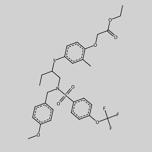 CCOC(=O)COc1ccc(SC(CC)CN(Cc2ccc(OC)cc2)S(=O)(=O)c2ccc(OC(F)(F)F)cc2)cc1C